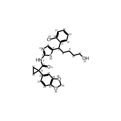 O=C(Nc1ncc(C(CCCCO)c2ccccc2Cl)s1)C1(c2ccc3c(c2)OCO3)CC1